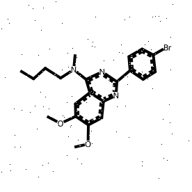 CCCCN(C)c1nc(-c2ccc(Br)cc2)nc2cc(OC)c(OC)cc12